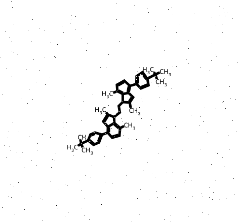 CC1=Cc2c(-c3ccc(C(C)(C)C)cc3)ccc(C)c2C1CCC1C(C)=Cc2c(-c3ccc(C(C)(C)C)cc3)ccc(C)c21